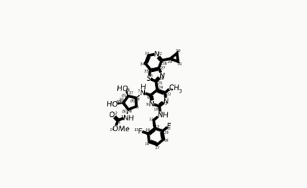 COC(=O)N[C@H]1C[C@@H](Nc2nc(NCc3c(F)cccc3F)nc(C)c2-c2nc3c(C4CC4)nccc3s2)[C@H](O)[C@@H]1O